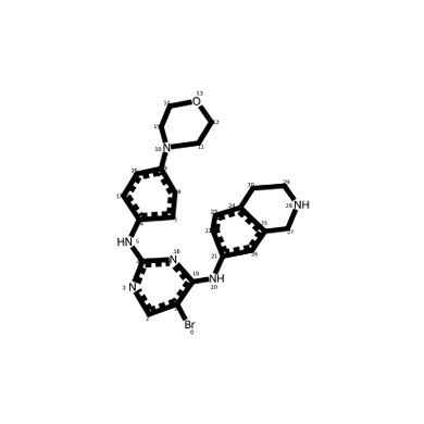 Brc1cnc(Nc2ccc(N3CCOCC3)cc2)nc1Nc1ccc2c(c1)CNCC2